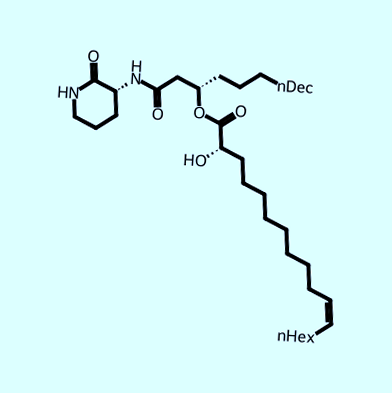 CCCCCC/C=C\CCCCCCCC[C@H](O)C(=O)O[C@@H](CCCCCCCCCCCCC)CC(=O)N[C@@H]1CCCNC1=O